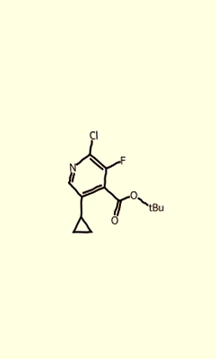 CC(C)(C)OC(=O)c1c(C2CC2)cnc(Cl)c1F